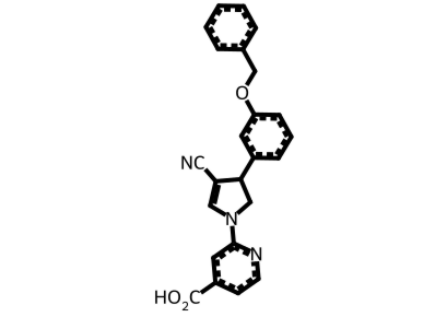 N#CC1=CN(c2cc(C(=O)O)ccn2)CC1c1cccc(OCc2ccccc2)c1